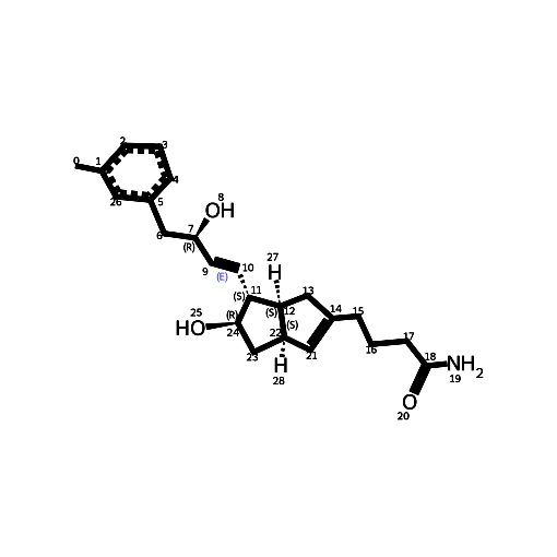 Cc1cccc(C[C@@H](O)/C=C/[C@@H]2[C@H]3CC(CCCC(N)=O)=C[C@H]3C[C@H]2O)c1